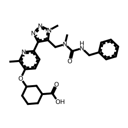 Cc1nc(-c2nnn(C)c2CN(C)C(=O)NCc2ccccc2)ccc1OC1CCCC(C(=O)O)C1